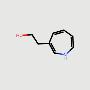 OCCC1=CNC=CC=C1